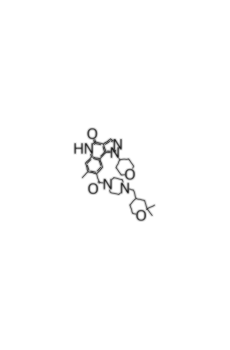 Cc1cc2[nH]c(=O)c3cnn(C4CCOCC4)c3c2cc1C(=O)N1CCN(CC2CCOC(C)(C)C2)CC1